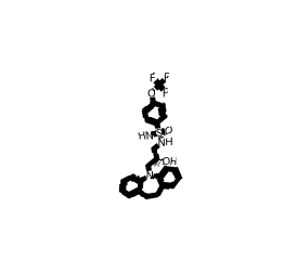 N=S(=O)(NC[C@H](O)CN1c2ccccc2CCc2ccccc21)c1ccc(OC(F)(F)F)cc1